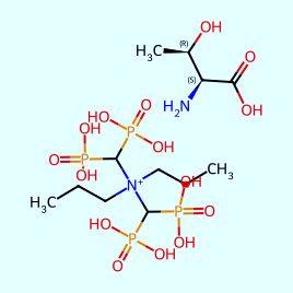 CCC[N+](CCC)(C(P(=O)(O)O)P(=O)(O)O)C(P(=O)(O)O)P(=O)(O)O.C[C@@H](O)[C@H](N)C(=O)O